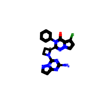 Nc1nc(N2CC[C@H]2c2nn3ccc(Cl)c3c(=O)n2-c2ccccc2)n2nccc2n1